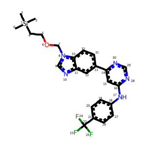 C[Si](C)(C)CCOCn1cnc2cc(-c3cc(Nc4ccc(C(F)(F)F)cc4)ncn3)ccc21